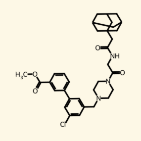 COC(=O)c1cccc(-c2cc(Cl)cc(CN3CCN(C(=O)CNC(=O)CC45CC6CC(CC(C6)C4)C5)CC3)c2)c1